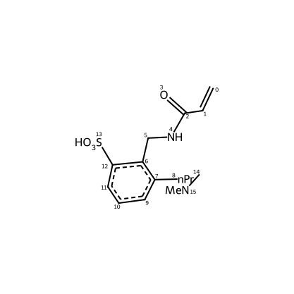 C=CC(=O)NCc1c(CCC)cccc1S(=O)(=O)O.CNC